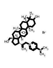 C=C(C[n+]1ccc(N(C)C)cc1)[C@@H]1CC[C@]2(CO)CC[C@]3(C)[C@H](CCC4[C@@]5(C)CCC(O)C(C)(C)[C@@H]5CC[C@]43C)[C@@H]12.[Br-]